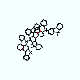 CC1(C)c2ccccc2-c2cc(N(c3ccc4c(c3)C3(c5ccccc5-c5ccccc53)c3cc(N(c5ccc6c(c5)C(C)(C)c5ccccc5-6)c5ccccc5-c5ccccc5)c5oc6ccccc6c5c3-4)c3ccccc3-c3ccccc3)ccc21